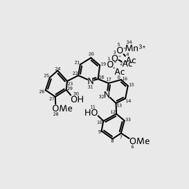 CC(=O)[O-].CC(=O)[O-].CC(=O)[O-].COc1ccc(O)c(-c2cccc(-c3cccc(-c4cccc(OC)c4O)n3)n2)c1.[Mn+3]